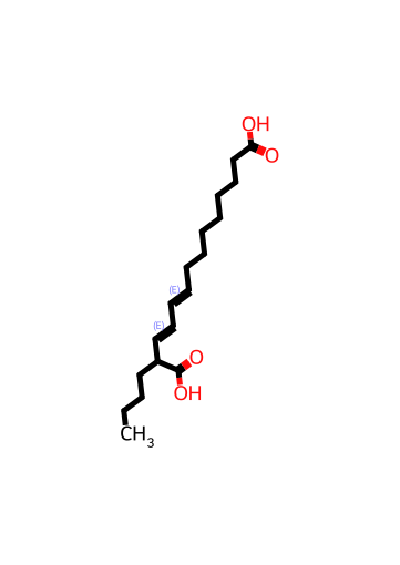 CCCCC(/C=C/C=C/CCCCCCCC(=O)O)C(=O)O